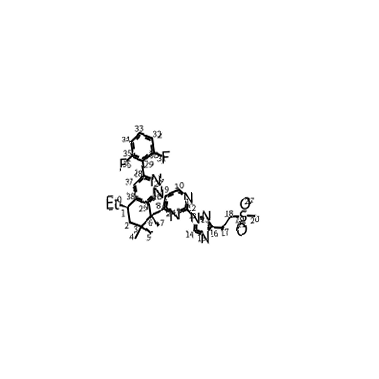 CC[C@@H]1CC(C)(C)[C@@](C)(c2ccnc(-n3cnc(CCS(C)(=O)=O)n3)n2)c2nnc(-c3c(F)cccc3F)cc21